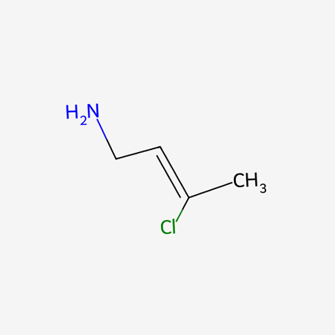 CC(Cl)=CCN